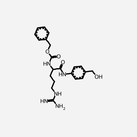 N=C(N)NCCCC(NC(=O)OCc1ccccc1)C(=O)Nc1ccc(CO)cc1